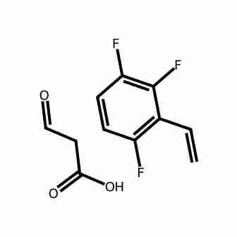 C=Cc1c(F)ccc(F)c1F.O=CCC(=O)O